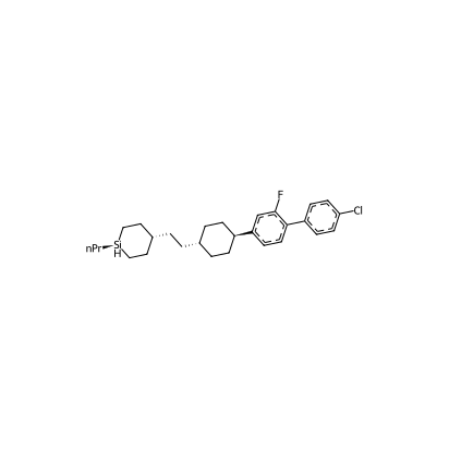 CCC[Si@H]1CC[C@H](CC[C@H]2CC[C@H](c3ccc(-c4ccc(Cl)cc4)c(F)c3)CC2)CC1